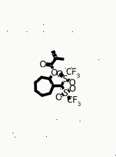 C=C(C)C(=O)OC1CCCCCC1C(S(=O)(=O)C(F)(F)F)S(=O)(=O)C(F)(F)F